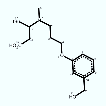 CN(CCCOc1cccc(CO)c1)C(CC(=O)O)C(C)(C)C